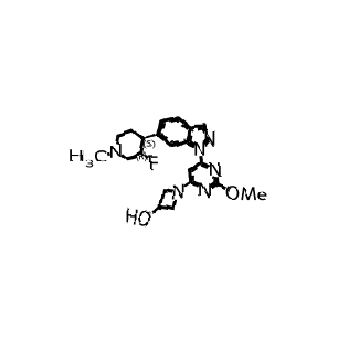 COc1nc(N2CC(O)C2)cc(-n2ncc3ccc([C@@H]4CCN(C)C[C@@H]4F)cc32)n1